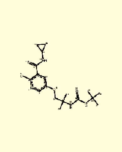 CC(C)(COc1cnc(Cl)c(C(=O)NC2CC2)c1)NC(=O)OC(C)(C)C